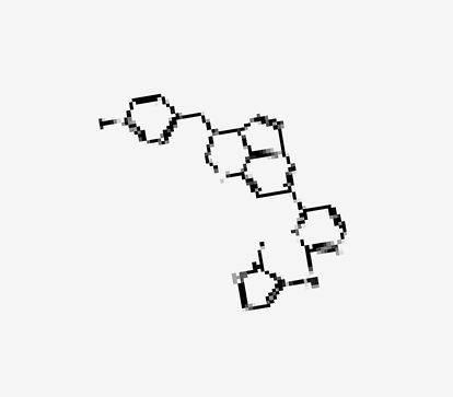 Cn1nccc1Nc1nccc(-c2cc3c4c(c2)OCC(Cc2ccc(F)cc2)C4C=C3)n1